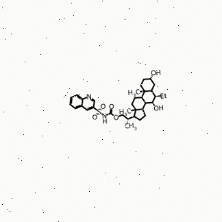 CC[C@@H]1C2C[C@H](O)CCC2(C)C2CCC3(C)C(CCC3[C@H](C)COC(=O)NS(=O)(=O)c3cnc4ccccc4c3)C2[C@@H]1O